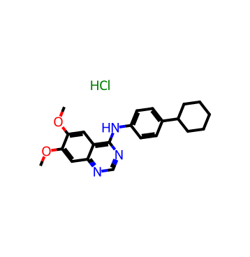 COc1cc2ncnc(Nc3ccc(C4CCCCC4)cc3)c2cc1OC.Cl